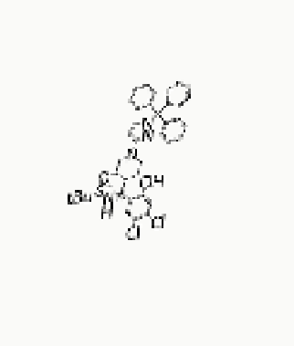 CC(C)(C)[S+]([O-])N[C@@H](c1cc(Cl)c(Cl)cc1O)C1CCN(c2ccn(C(c3ccccc3)(c3ccccc3)c3ccccc3)n2)CC1